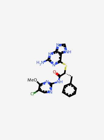 COc1nc(NC(=O)[C@@H](Cc2ccccc2)Sc2nc(N)nc3nc[nH]c23)ncc1Cl